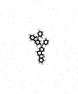 c1ccc(N(c2ccc3c(ccc4c5ccccc5sc34)c2)c2ccc3c4ccccc4n(-c4ccccc4)c3c2)cc1